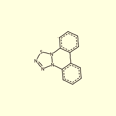 [c]1cccc2c1N1SN=NN1c1ccccc1-2